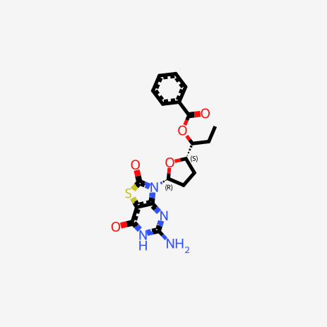 CCC(OC(=O)c1ccccc1)[C@@H]1CC[C@H](n2c(=O)sc3c(=O)[nH]c(N)nc32)O1